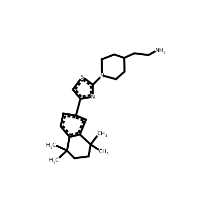 CC1(C)CCC(C)(C)c2cc(-c3csc(N4CCC(CCN)CC4)n3)ccc21